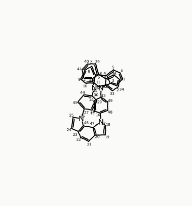 c1ccc2c(c1)c1ccccc1n2-c1ccc(-n2ccc3ccc4ccn(-c5ccc(-n6c7ccccc7c7ccccc76)cc5)c4c32)cc1